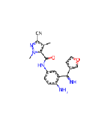 Cc1c(C#N)nn(C)c1C(=O)Nc1ccc(N)c(C(=N)c2ccoc2)c1